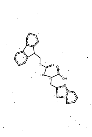 O=C(N[C@@H](Cc1nc2ccccc2s1)C(=O)O)OCC1c2ccccc2-c2ccccc21